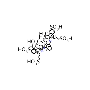 CC1(C)C(/C=C/C2=C(OCCC(=O)O)C(=C/C=C3/N(CCCS(=O)(=O)O)c4ccc(S(=O)(=O)O)cc4C3(C)C)/C3CCC2C3)=[N+](CCCS(=O)(=O)O)c2ccc(S(=O)(=O)O)cc21